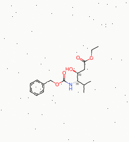 CCOC(=O)C[C@H](O)[C@@H](NC(=O)OCc1ccccc1)C(C)C